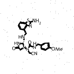 COc1ccc(CNC(=O)N(CC#N)N2CC(=O)N[C@@H]2CNCc2cccc3sc(N)nc23)cc1